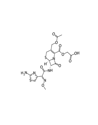 CON=C(C(=O)N[C@H]1C(=O)N2C(C(=O)OCC(=O)O)=C(COC(C)=O)CS[C@H]12)c1csc(N)n1